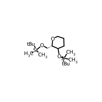 CC(C)(C)[Si](C)(C)OC[C@@H]1OCCCC1O[Si](C)(C)C(C)(C)C